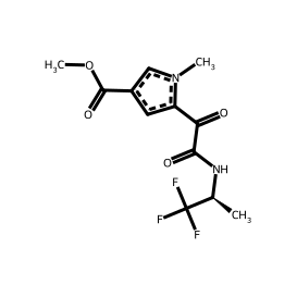 COC(=O)c1cc(C(=O)C(=O)N[C@@H](C)C(F)(F)F)n(C)c1